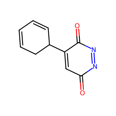 O=C1C=C(C2C=CC=CC2)C(=O)N=N1